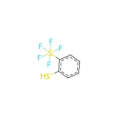 FS(F)(F)(F)(F)c1ccccc1S